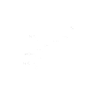 CCCc1c(OCCCCSC#N)ccc(C(C)=O)c1O